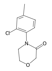 Cc1ccc(N2CCOCC2=O)c(Cl)c1